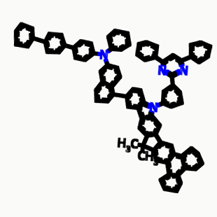 CC1(C)c2cc3c4ccccc4c4ccccc4c3cc2-c2cc3c(cc21)c1cc(-c2cccc4cc(N(c5ccccc5)c5ccc(-c6ccc(-c7ccccc7)cc6)cc5)ccc24)ccc1n3-c1cccc(-c2nc(-c3ccccc3)cc(-c3ccccc3)n2)c1